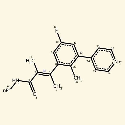 CCCNC(=O)/C(C)=C(\C)c1cc(F)cc(-c2ccncc2)c1C